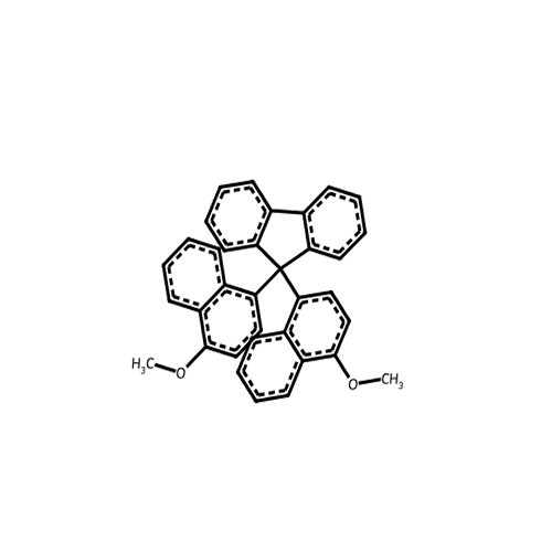 COc1ccc(C2(c3ccc(OC)c4ccccc34)c3ccccc3-c3ccccc32)c2ccccc12